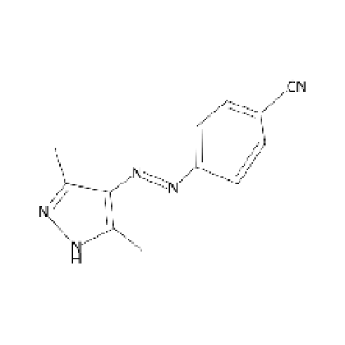 Cc1n[nH]c(C)c1N=Nc1ccc(C#N)cc1